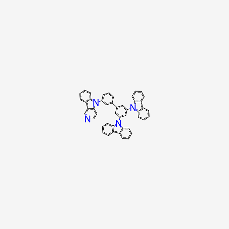 c1cc(-c2cc(-n3c4ccccc4c4ccccc43)cc(-n3c4ccccc4c4ccccc43)c2)cc(-n2c3ccccc3c3cnccc32)c1